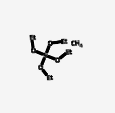 C.CCO[Si](OCC)(OCC)OCC